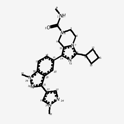 CNC(=O)N1CCn2c(C3CCC3)nc(-c3ccc4c(c3)c(-c3cnn(C)c3)nn4C)c2C1